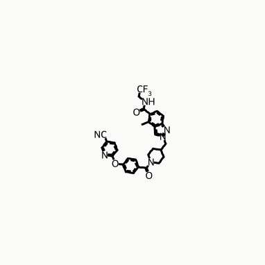 Cc1c(C(=O)NCC(F)(F)F)ccc2nn(CC3CCN(C(=O)c4ccc(Oc5ccc(C#N)cn5)cc4)CC3)cc12